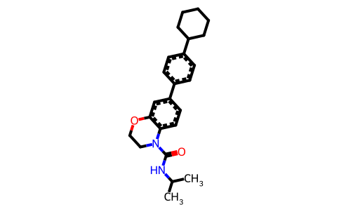 CC(C)NC(=O)N1CCOc2cc(-c3ccc(C4CCCCC4)cc3)ccc21